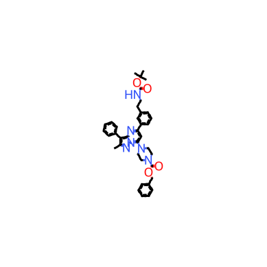 Cc1nn2c(N3CCN(C(=O)OCc4ccccc4)CC3)cc(-c3cccc(CCNC(=O)OC(C)(C)C)c3)nc2c1-c1ccccc1